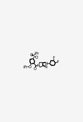 CC(C)Oc1ccc(S(=O)(=O)C(C)C)cc1C(=O)N1Cc2cn(-c3ccc(F)c(F)c3)nc2C1